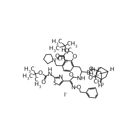 COc1c(CC(NC(=O)/C(=N\OCc2ccccc2)c2csc(NC(=O)OC(C)(C)C)n2)B2OC3C[C@H]4C[C@@H](C4(C)C)[C@]3(C)O2)ccc(C[N+]2(C)CCCC2)c1C(=O)OC(C)(C)C.[I-]